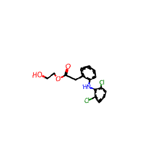 O=C(Cc1ccccc1Nc1c(Cl)cccc1Cl)OCCO